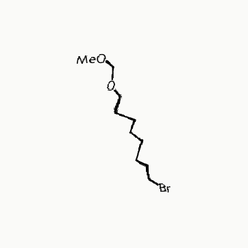 COCOCCCCCCCCBr